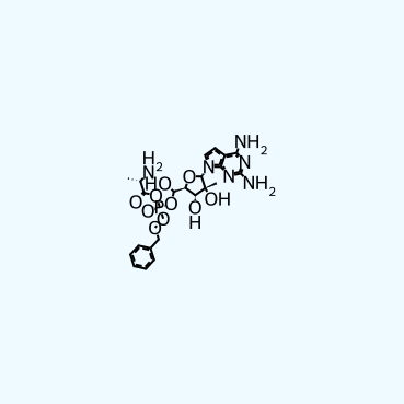 C[C@H](N)C(=O)OP(=O)(OOCc1ccccc1)OC(O)[C@H]1O[C@@H](n2ccc3c(N)nc(N)nc32)[C@](C)(O)[C@@H]1O